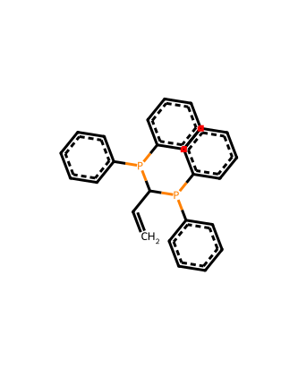 C=C[C](P(c1ccccc1)c1ccccc1)P(c1ccccc1)c1ccccc1